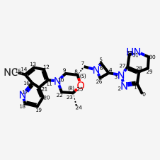 Cc1nn(C2CN(C[C@H]3CN(c4ccc(C#N)c5ncccc45)C[C@@H](C)O3)C2)c2c1CCNC2